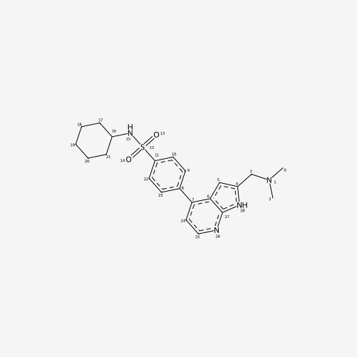 CN(C)Cc1cc2c(-c3ccc(S(=O)(=O)NC4CCCCC4)cc3)ccnc2[nH]1